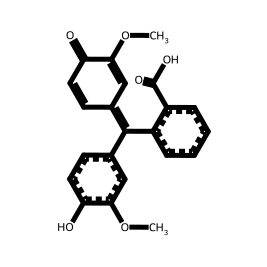 COC1=C/C(=C(/c2ccc(O)c(OC)c2)c2ccccc2C(=O)O)C=CC1=O